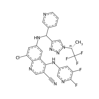 C[C@@H](n1cc(C(Nc2cc(Cl)c3ncc(C#N)c(Nc4cnc(F)c(F)c4)c3c2)c2cccnc2)nn1)C(F)(F)F